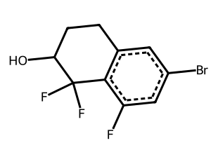 OC1CCc2cc(Br)cc(F)c2C1(F)F